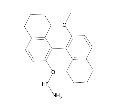 COc1ccc2c(c1-c1c(OPN)ccc3c1CCCC3)CCCC2